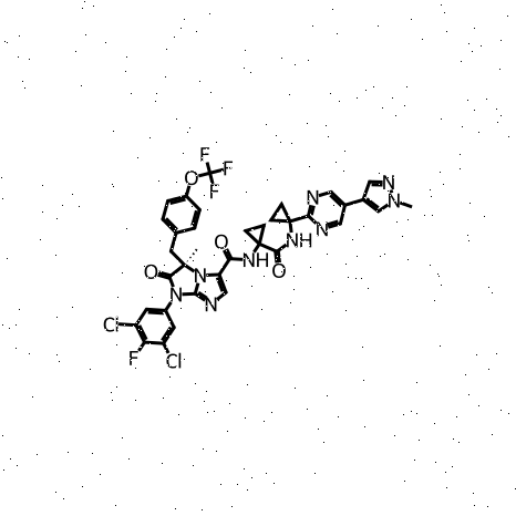 Cn1cc(-c2cnc(C3(NC(=O)C4(NC(=O)c5cnc6n5[C@](C)(Cc5ccc(OC(F)(F)F)cc5)C(=O)N6c5cc(Cl)c(F)c(Cl)c5)CC4)CC3)nc2)cn1